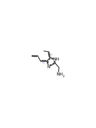 C=C/C=c1/nc(CN)[nH]/c1=C/C